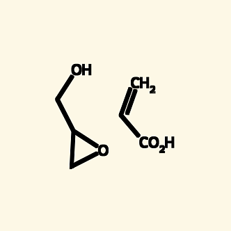 C=CC(=O)O.OCC1CO1